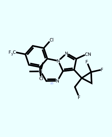 CN(C)/C=N\c1c(C2(CF)CC2(F)F)c(C#N)nn1-c1c(Cl)cc(C(F)(F)F)cc1Cl